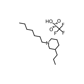 CCCCCCCN1CCCC(CCC)C1.O=S(=O)(O)C(F)(F)F